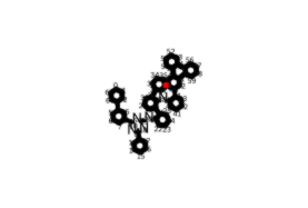 c1ccc(-c2cccc(-c3nc(-c4ccccc4)nc(-n4c5ccccc5c5c4ccc4c6ccccc6n(-c6ccccc6-c6ccc7c8ccccc8c8ccccc8c7c6)c45)n3)c2)cc1